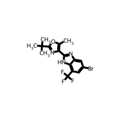 Cc1oc(C(C)(C)C)nc1-c1nc2cc(Br)cc(C(F)(F)F)c2[nH]1